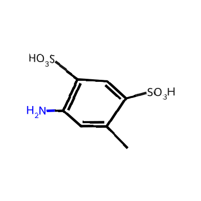 Cc1cc(N)c(S(=O)(=O)O)cc1S(=O)(=O)O